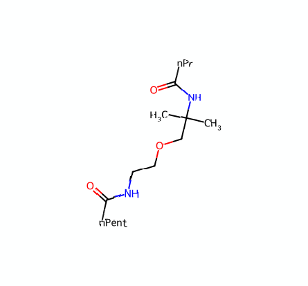 CCCCCC(=O)NCCOCC(C)(C)NC(=O)CCC